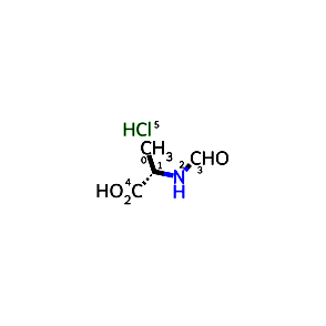 C[C@H](NC=O)C(=O)O.Cl